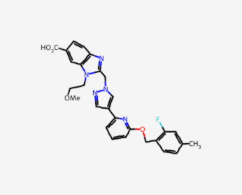 COCCn1c(Cn2cc(-c3cccc(OCc4ccc(C)cc4F)n3)cn2)nc2ccc(C(=O)O)cc21